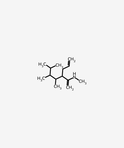 C=CCC(C(=C)NC)C(C)C(C)C(C)C